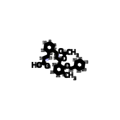 CC(=O)OC(/C=C/c1ccccc1/C=C/C(=O)O)c1cccc(C)c1OCc1ccccc1